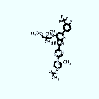 COCC(C)(C)CN(C)c1cc(-c2ccc(F)c(C(F)(F)F)c2)nc2nc(-c3cnc(N4CCN(OC(C)=O)C[C@H]4C)cn3)[nH]c12